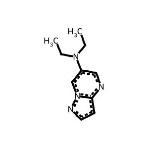 CCN(CC)c1cnc2ccnn2c1